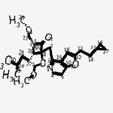 COCOC1(Cc2nccc3oc(CCC4CC4)cc23)C(=O)N(COC)[C@H]1CCC(C)C